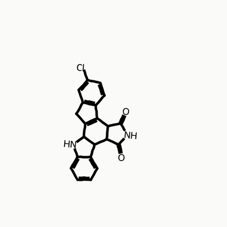 O=C1NC(=O)C2C1C1=C(Cc3cc(Cl)ccc31)C1Nc3ccccc3C12